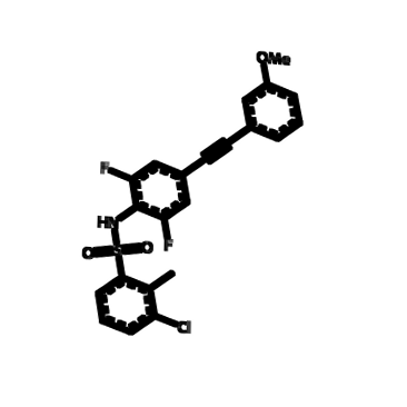 COc1cccc(C#Cc2cc(F)c(NS(=O)(=O)c3cccc(Cl)c3C)c(F)c2)c1